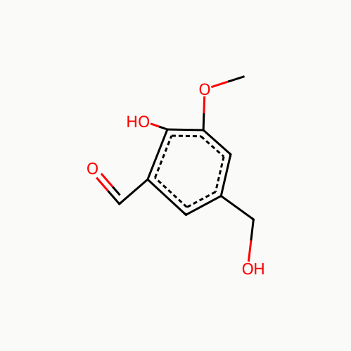 COc1cc(CO)cc(C=O)c1O